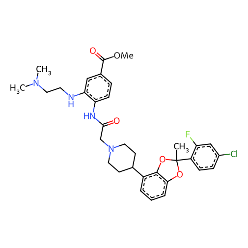 COC(=O)c1ccc(NC(=O)CN2CCC(c3cccc4c3OC(C)(c3ccc(Cl)cc3F)O4)CC2)c(NCCN(C)C)c1